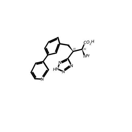 CCC[C@H](C(=O)O)[C@H](Cc1cccc(-c2cccnc2)c1)c1nn[nH]n1